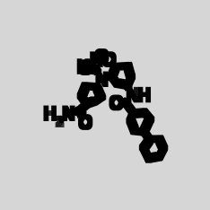 NC(=O)c1ccc(N(c2cc(NC(=O)c3ccc(-c4ccccc4)cc3)ccc2O)[SH](=O)=O)cc1